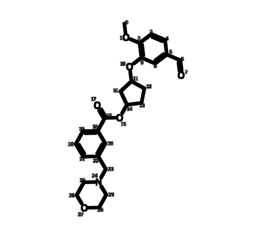 COc1ccc(C=O)cc1OC1CCC(OC(=O)c2cccc(CN3CCOCC3)c2)C1